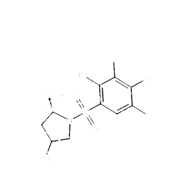 O=C(O)[C@@H]1CC(O)CN1S(=O)(=O)c1cc(Cl)c(Cl)c(Cl)c1O